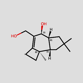 CC1(C)C[C@H]2[C@H](O)C(CO)=C3[C]C[C@]3(C)[C@H]2C1